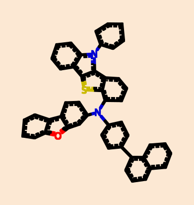 c1ccc(-n2c3ccccc3c3sc4c(N(c5ccc(-c6cccc7ccccc67)cc5)c5ccc6c(c5)oc5ccccc56)cccc4c32)cc1